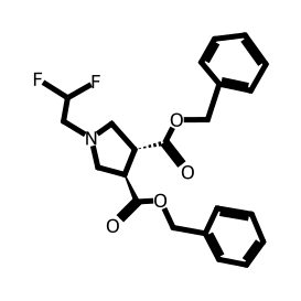 O=C(OCc1ccccc1)[C@H]1CN(CC(F)F)C[C@@H]1C(=O)OCc1ccccc1